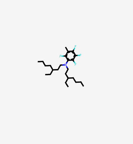 CCCCC(CC)CCN(CCC(CC)CCCC)c1c(F)c(C)c(F)c(F)c1F